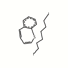 C1=CSc2ccccc2C=C1.ICCCCCCI